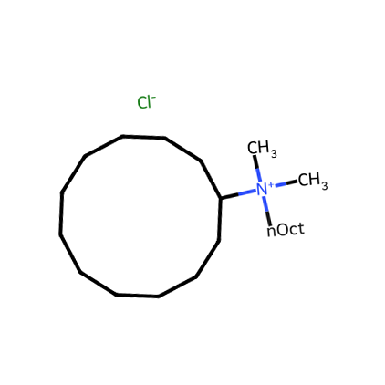 CCCCCCCC[N+](C)(C)C1CCCCCCCCCCC1.[Cl-]